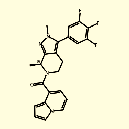 C[C@H]1c2nn(C)c(-c3cc(F)c(F)c(F)c3)c2CCN1C(=O)c1cccn2cccc12